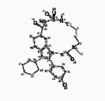 CN1C/C=C/CN(C)S(=O)(=O)NC(=O)c2ccc3c(C4CCCCC4)c(-c4ccc(Cl)cc4)n(c3c2)CC1=O